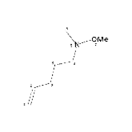 C=CCCCN(C)OC